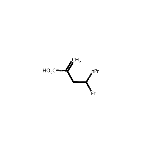 C=C(CC(CC)CCC)C(=O)O